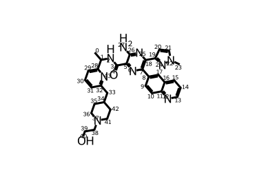 CC(NC(=O)c1nc(-c2ccc3ncccc3c2)c(-c2ccn(C)n2)nc1N)c1cccc(CC2CCN(CCO)CC2)n1